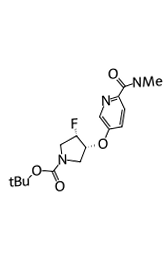 CNC(=O)c1ccc(O[C@@H]2CN(C(=O)OC(C)(C)C)C[C@@H]2F)cn1